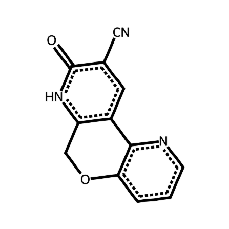 N#Cc1cc2c([nH]c1=O)COc1cccnc1-2